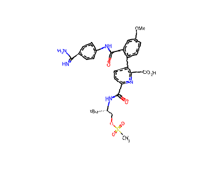 COc1ccc(-c2ccc(C(=O)N[C@H](COS(C)(=O)=O)C(C)(C)C)nc2C(=O)O)c(C(=O)Nc2ccc(C(=N)N)cc2)c1